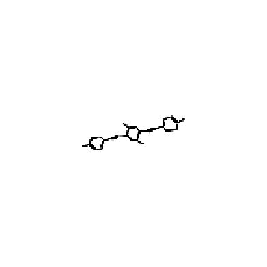 Cc1ccc(C#Cc2cc(C)c(C#Cc3ccc(C)cc3)cc2C)cc1